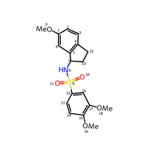 COc1ccc2c(c1)C(NS(=O)(=O)c1ccc(OC)c(OC)c1)CC2